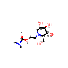 CN(C)C(=O)OCCN1C[C@H](O)C(O)[C@H](O)[C@H]1CO